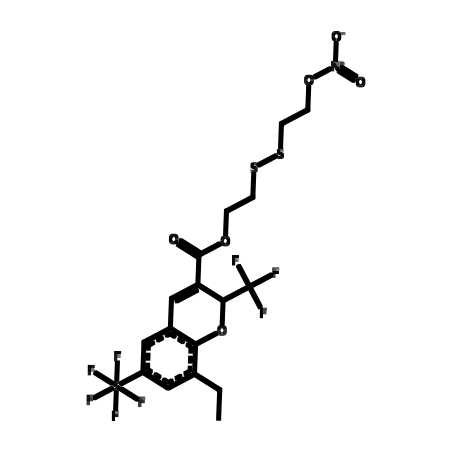 CCc1cc(S(F)(F)(F)(F)F)cc2c1OC(C(F)(F)F)C(C(=O)OCCSSCCO[N+](=O)[O-])=C2